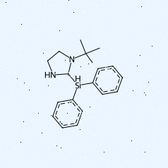 CC(C)(C)N1CCNC1[SiH](c1ccccc1)c1ccccc1